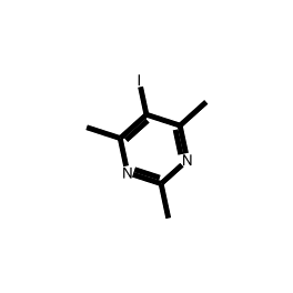 Cc1nc(C)c(I)c(C)n1